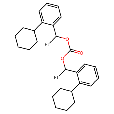 CCC(OC(=O)OC(CC)c1ccccc1C1CCCCC1)c1ccccc1C1CCCCC1